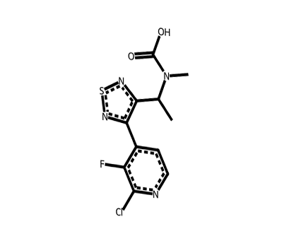 CC(c1nsnc1-c1ccnc(Cl)c1F)N(C)C(=O)O